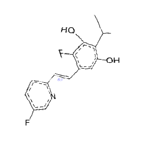 CC(C)c1c(O)cc(/C=C/c2ccc(F)cn2)c(F)c1O